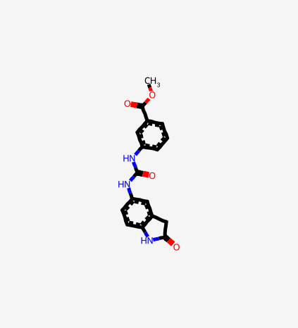 COC(=O)c1cccc(NC(=O)Nc2ccc3c(c2)CC(=O)N3)c1